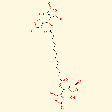 O=C1C=C(C(OC(=O)CCCCCCCCCCC(=O)OC(C2=CC(=O)OC2O)C2=CC(=O)OC2O)C2=CC(=O)OC2O)C(O)O1